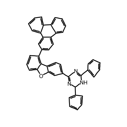 c1ccc(C2=NC(c3ccc4c(c3)oc3cccc(-c5ccc6c7ccccc7c7ccccc7c6c5)c34)=NC(c3ccccc3)N2)cc1